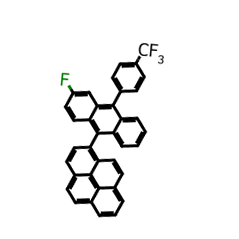 Fc1ccc2c(-c3ccc4ccc5cccc6ccc3c4c56)c3ccccc3c(-c3ccc(C(F)(F)F)cc3)c2c1